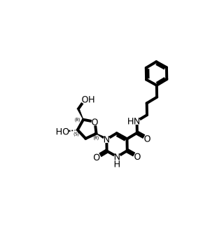 O=C(NCCCc1ccccc1)c1cn([C@H]2C[C@H](O)[C@@H](CO)O2)c(=O)[nH]c1=O